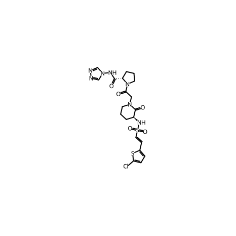 O=C(Nn1cnnc1)[C@@H]1CCCN1C(=O)CN1CCC[C@H](NS(=O)(=O)/C=C/c2ccc(Cl)s2)C1=O